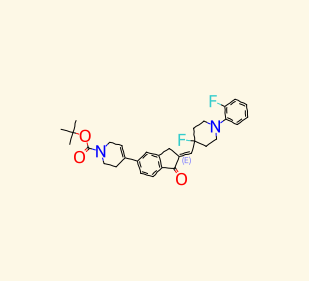 CC(C)(C)OC(=O)N1CC=C(c2ccc3c(c2)C/C(=C\C2(F)CCN(c4ccccc4F)CC2)C3=O)CC1